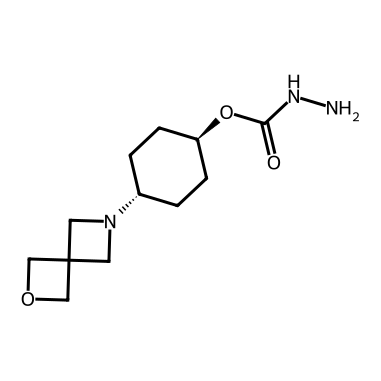 NNC(=O)O[C@H]1CC[C@H](N2CC3(COC3)C2)CC1